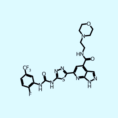 O=C(Nc1nnc(-c2cc(C(=O)NCCN3CCOCC3)c3cn[nH]c3n2)s1)Nc1cc(C(F)(F)F)ccc1F